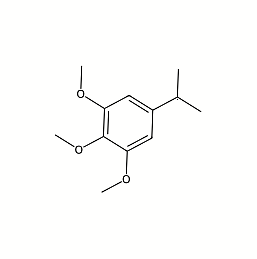 COc1cc([C](C)C)cc(OC)c1OC